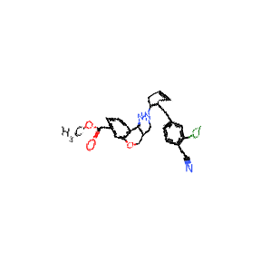 COC(=O)c1ccc2c(c1)OCC1CN(C3CC=CC3c3ccc(C#N)c(Cl)c3)N=C21